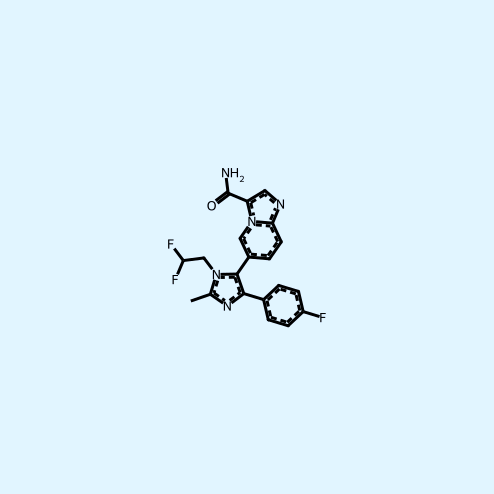 Cc1nc(-c2ccc(F)cc2)c(-c2ccc3ncc(C(N)=O)n3c2)n1CC(F)F